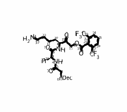 CCCCCCCCCCCC(=O)N[C@H](C(=O)N[C@@H](CCCCN)C(=O)COC(=O)c1c(C(F)(F)F)cccc1C(F)(F)F)C(C)C